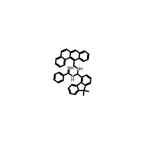 CC1(C)c2ccccc2-c2c(C(NCc3c4ccccc4cc4ccc5ccccc5c34)NC(=N)c3ccccc3)cccc21